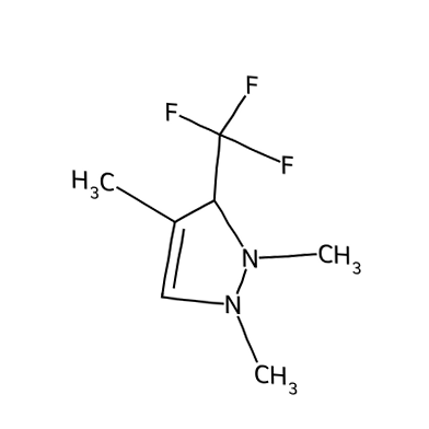 CC1=CN(C)N(C)C1C(F)(F)F